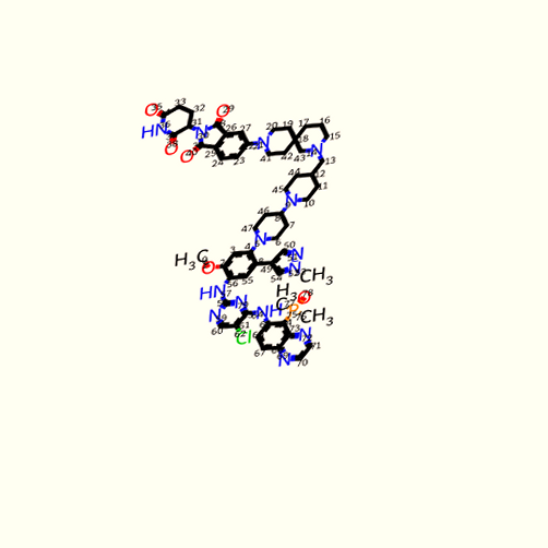 COc1cc(N2CCC(N3CCC(CN4CCCC5(CCN(c6ccc7c(c6)C(=O)N(C6CCC(=O)NC6=O)C7=O)CC5)C4)CC3)CC2)c(-c2cnn(C)c2)cc1Nc1ncc(Cl)c(Nc2ccc3nccnc3c2P(C)(C)=O)n1